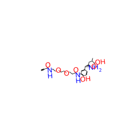 C#CC(=O)NCCOCCOCCC(=O)Nc1cc(C[C@H](N)CC(C)C(=O)O)ccc1O